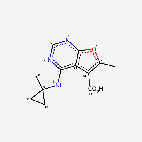 Cc1oc2ncnc(NC3(C)CC3)c2c1C(=O)O